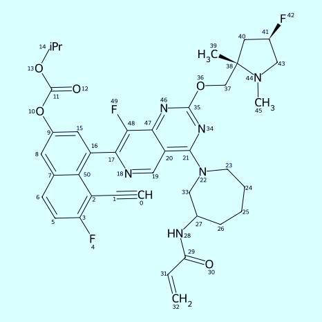 C#Cc1c(F)ccc2cc(OC(=O)OC(C)C)cc(-c3ncc4c(N5CCCCC(NC(=O)C=C)C5)nc(OC[C@]5(C)C[C@@H](F)CN5C)nc4c3F)c12